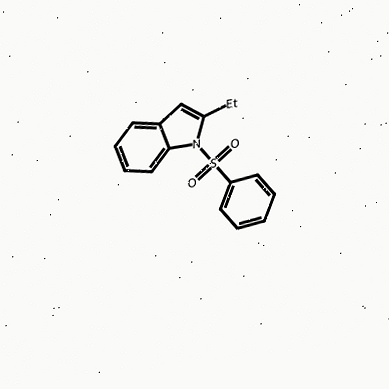 CCc1cc2ccccc2n1S(=O)(=O)c1ccccc1